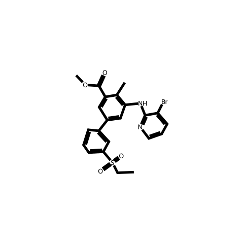 CCS(=O)(=O)c1cccc(-c2cc(Nc3ncccc3Br)c(C)c(C(=O)OC)c2)c1